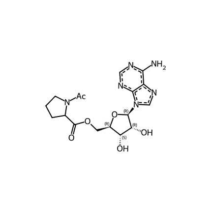 CC(=O)N1CCCC1C(=O)OC[C@H]1O[C@@H](n2cnc3c(N)ncnc32)[C@H](O)[C@@H]1O